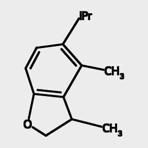 Cc1c(C(C)C)ccc2c1C(C)CO2